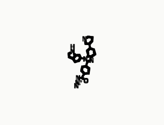 [N-]=[N+]=NC(=O)c1ccc(-c2nc3ccc(-c4cccnc4)cc3n2-c2ccc3cc[nH]c3c2)cc1